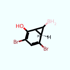 BC1C2C(O)=C(Br)C=C(Br)[C@H]12